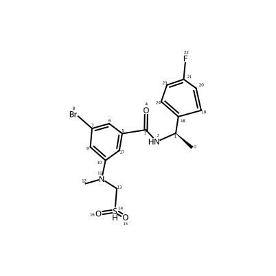 C[C@@H](NC(=O)c1cc(Br)cc(N(C)C[SH](=O)=O)c1)c1ccc(F)cc1